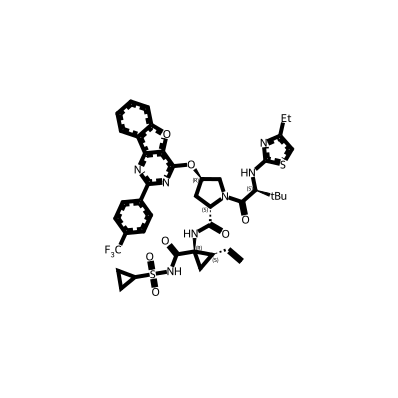 C=C[C@@H]1C[C@]1(NC(=O)[C@@H]1C[C@@H](Oc2nc(-c3ccc(C(F)(F)F)cc3)nc3c2oc2ccccc23)CN1C(=O)[C@@H](Nc1nc(CC)cs1)C(C)(C)C)C(=O)NS(=O)(=O)C1CC1